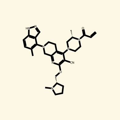 C=CC(=O)N1CCN(c2c(C#N)c(OC[C@@H]3CCCN3C)nc3c2CCN(c2c(C)ccc4[nH]ncc24)C3)C[C@@H]1C